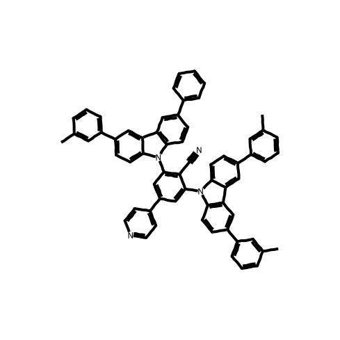 Cc1cccc(-c2ccc3c(c2)c2cc(-c4ccccc4)ccc2n3-c2cc(-c3ccncc3)cc(-n3c4ccc(-c5cccc(C)c5)cc4c4cc(-c5cccc(C)c5)ccc43)c2C#N)c1